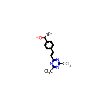 CCCC(O)c1ccc(C=Cc2nc(C(Cl)(Cl)Cl)nc(C(Cl)(Cl)Cl)n2)cc1